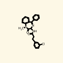 CN1C(=O)C(NC(=O)CCc2cccc(Cl)c2)N=C(c2ccccc2)c2ccccc21